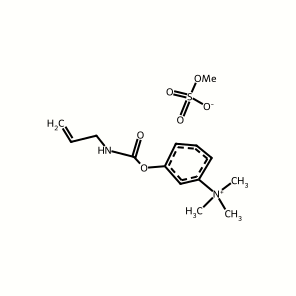 C=CCNC(=O)Oc1cccc([N+](C)(C)C)c1.COS(=O)(=O)[O-]